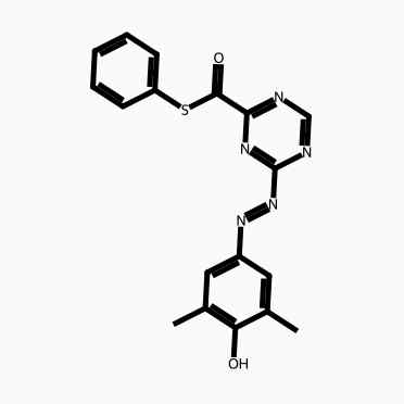 Cc1cc(/N=N/c2ncnc(C(=O)Sc3ccccc3)n2)cc(C)c1O